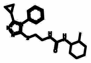 CC1CCCCC1NC(=O)NCCSc1nnc(C2CC2)n1-c1ccccc1